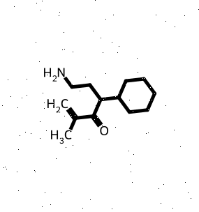 C=C(C)C(=O)C(CCN)C1CCCCC1